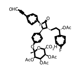 CC(=O)O[C@H]1[C@H](OC(C)=O)[C@@H](OC(C)=O)[C@](C)(Oc2ccc([C@@H]3[C@@H](CC[C@H](OC(C)=O)c4ccc(F)cc4)C(=O)N3c3ccc(C#CC=O)cc3)cc2)O[C@@H]1C(=O)O